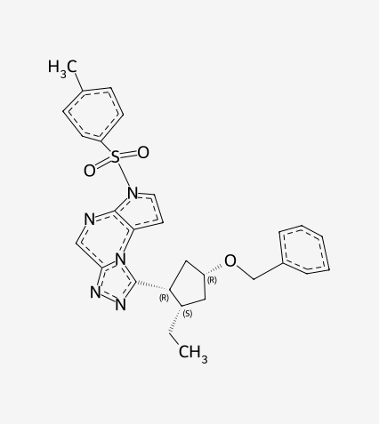 CC[C@H]1C[C@@H](OCc2ccccc2)C[C@H]1c1nnc2cnc3c(ccn3S(=O)(=O)c3ccc(C)cc3)n12